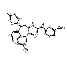 COc1cccc(NC(=O)NC2CC(c3ccc(Cl)cc3)c3ccccc3N(CC(N)=O)C2=O)c1